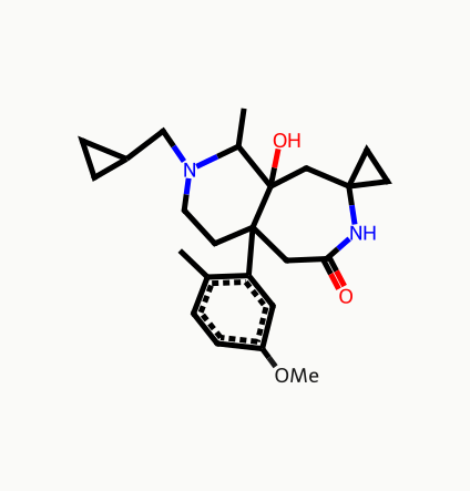 COc1ccc(C)c(C23CCN(CC4CC4)C(C)C2(O)CC2(CC2)NC(=O)C3)c1